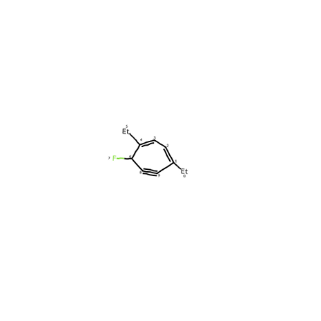 CCC1=CC=C(CC)C(F)C#C1